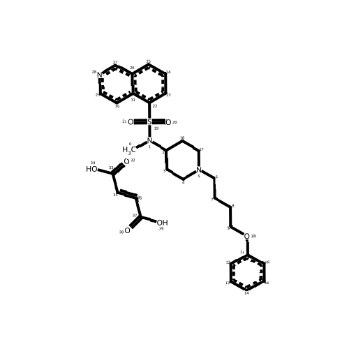 CN(C1CCN(CCCCOc2ccccc2)CC1)S(=O)(=O)c1cccc2cnccc12.O=C(O)C=CC(=O)O